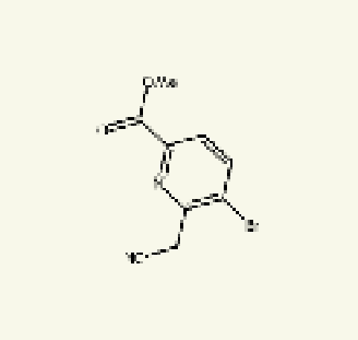 COC(=O)c1ccc(Br)c(CC#N)n1